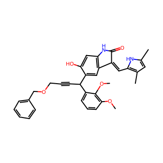 COc1cccc(C(C#CCOCc2ccccc2)c2cc3c(cc2O)NC(=O)/C3=C\c2[nH]c(C)cc2C)c1OC